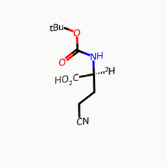 [2H][C@@](CCC#N)(NC(=O)OC(C)(C)C)C(=O)O